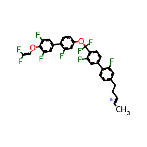 C/C=C/CCc1ccc(-c2ccc(C(F)(F)Oc3ccc(-c4cc(F)c(OC=C(F)F)c(F)c4)c(F)c3)c(F)c2)c(F)c1